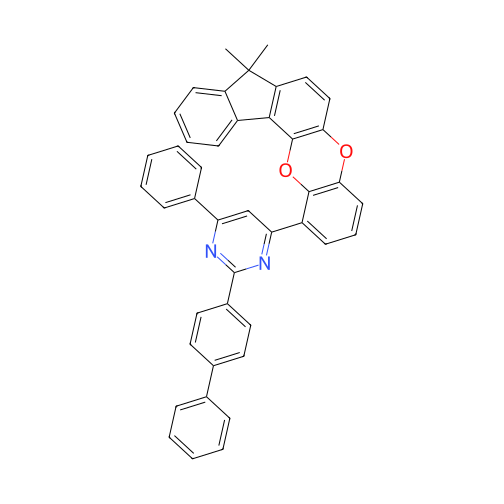 CC1(C)c2ccccc2-c2c1ccc1c2Oc2c(cccc2-c2cc(-c3ccccc3)nc(-c3ccc(-c4ccccc4)cc3)n2)O1